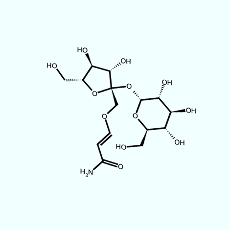 NC(=O)C=COC[C@@]1(O[C@H]2O[C@H](CO)[C@@H](O)[C@H](O)[C@H]2O)O[C@H](CO)[C@@H](O)[C@@H]1O